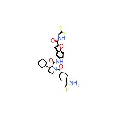 N[C@H](CF)[C@H]1CC[C@H](C(=O)N2CC[C@@H](C3CCCCC3)[C@H]2C(=O)Nc2ccc3oc(C(=O)NCC(F)F)cc3c2)CC1